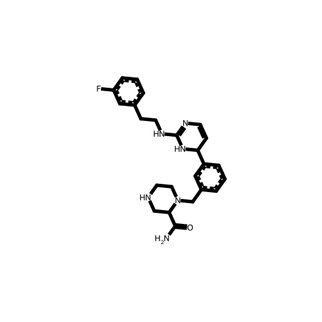 NC(=O)C1CNCCN1Cc1cccc(C2C=CN=C(NCCc3cccc(F)c3)N2)c1